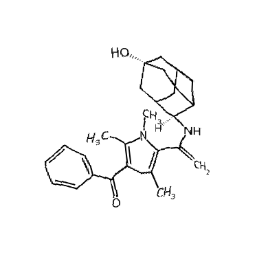 C=C(N[C@H]1C2CC3CC1C[C@](O)(C3)C2)c1c(C)c(C(=O)c2ccccc2)c(C)n1C